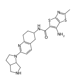 Cc1nc2sc(C(=O)NC3CCc4nc(N5CCC6CNCC65)ccc4C3)c(N)c2s1